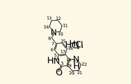 Cl.Cl.O=c1[nH]c2cc(CN3CCCCC3)ccc2c2c1CCCN2